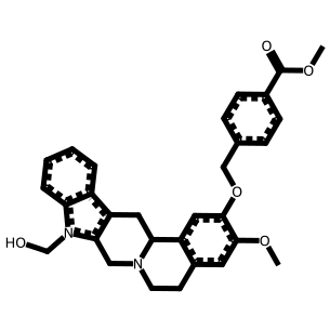 COC(=O)c1ccc(COc2cc3c(cc2OC)CCN2Cc4c(c5ccccc5n4CO)CC32)cc1